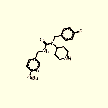 CC(C)COc1ccc(CNC(=O)N(Cc2ccc(F)cc2)C2CCNCC2)cn1